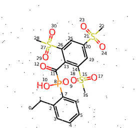 CCc1ccccc1P(=O)(O)C(=O)c1c(S(C)(=O)=O)cc(S(C)(=O)=O)cc1S(C)(=O)=O